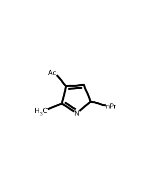 CCCC1C=C(C(C)=O)C(C)=N1